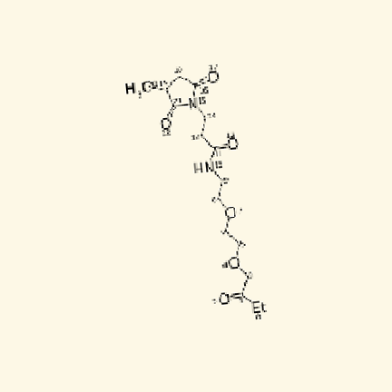 CCC(=O)COCCOCCNC(=O)CCN1C(=O)CC(C)C1=O